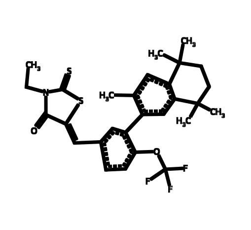 CCN1C(=O)C(=Cc2ccc(OC(F)(F)F)c(-c3cc4c(cc3C)C(C)(C)CCC4(C)C)c2)SC1=S